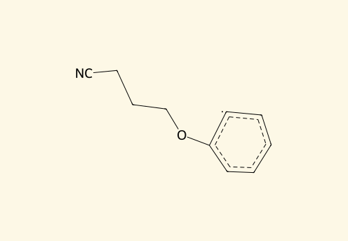 N#CCCCOc1[c]cccc1